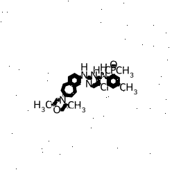 Cc1ccc(Nc2nc(Nc3ccc4c(c3)CC[C@H](N3C[C@H](C)OC[C@@H]3C)CC4)ncc2Cl)c(P(C)(C)=O)c1